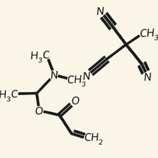 C=CC(=O)OC(C)N(C)C.CC(C#N)(C#N)C#N